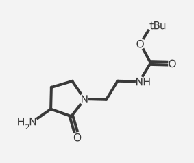 CC(C)(C)OC(=O)NCCN1CCC(N)C1=O